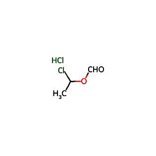 CC(Cl)OC=O.Cl